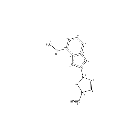 CCCCCN1C=CN(c2cc3cccc(OC(F)(F)F)c3s2)C1